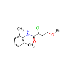 CCOCCC(Cl)C(=O)Nc1c(C)cccc1C